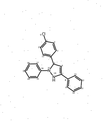 Clc1ccc(C2C=C(c3ccccc3)NN2c2ccccc2)cc1